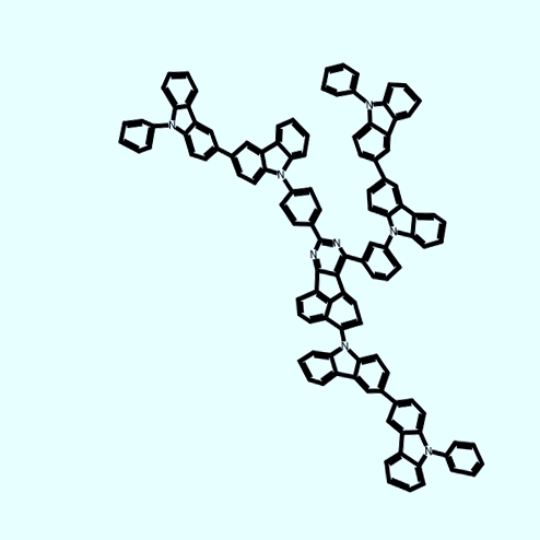 c1ccc(-n2c3ccccc3c3cc(-c4ccc5c(c4)c4ccccc4n5-c4ccc(-c5nc(-c6cccc(-n7c8ccccc8c8cc(-c9ccc%10c(c9)c9ccccc9n%10-c9ccccc9)ccc87)c6)c6c(n5)-c5cccc7c(-n8c9ccccc9c9cc(-c%10ccc%11c(c%10)c%10ccccc%10n%11-c%10ccccc%10)ccc98)ccc-6c57)cc4)ccc32)cc1